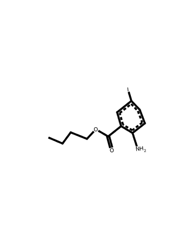 CCCCOC(=O)c1cc(I)ccc1N